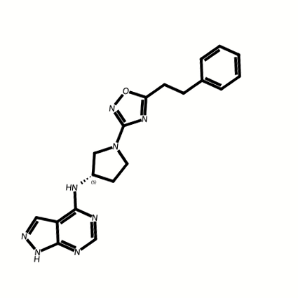 c1ccc(CCc2nc(N3CC[C@H](Nc4ncnc5[nH]ncc45)C3)no2)cc1